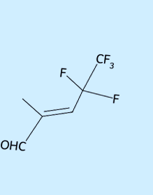 C/C(C=O)=C\C(F)(F)C(F)(F)F